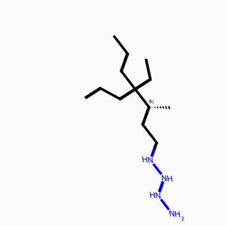 CCCC(CC)(CCC)[C@H](C)CCNNNN